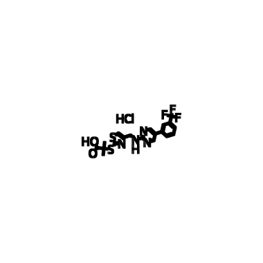 CC(C)(Sc1nc(CNc2ncc(-c3cccc(C(F)(F)F)c3)cn2)cs1)C(=O)O.Cl